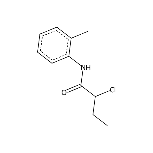 CCC(Cl)C(=O)Nc1ccccc1C